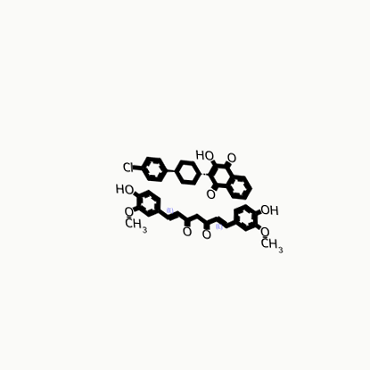 COc1cc(/C=C/C(=O)CC(=O)/C=C/c2ccc(O)c(OC)c2)ccc1O.O=C1C(O)=C([C@H]2CC[C@H](c3ccc(Cl)cc3)CC2)C(=O)c2ccccc21